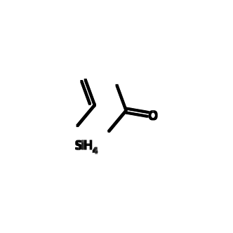 C=CC.CC(C)=O.[SiH4]